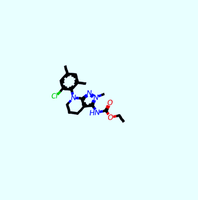 CCOC(=O)Nc1c2c(nn1C)N(c1c(C)cc(C)cc1Cl)CCC2